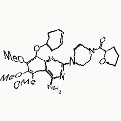 COc1c(OC)c(OC)c2c(N)nc(N3CCN(C(=O)C4CCCO4)CC3)nc2c1OC1CC=CCC1